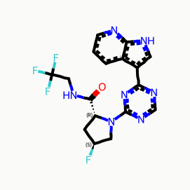 O=C(NCC(F)(F)F)[C@H]1C[C@H](F)CN1c1ncnc(-c2c[nH]c3ncccc23)n1